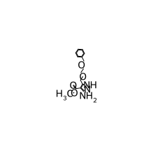 COC(=O)c1c(N)n[nH]c1COCCOCc1ccccc1